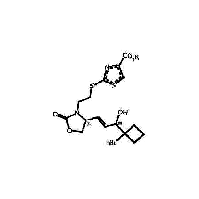 CCCCC1([C@H](O)C=C[C@H]2COC(=O)N2CCSc2nc(C(=O)O)cs2)CCC1